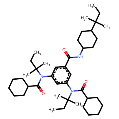 CCC(C)(C)C1CCC(NC(=O)c2cc(N(C(=O)C3CCCCC3)C(C)(C)CC)cc(N(C(=O)C3CCCCC3)C(C)(C)CC)c2)CC1